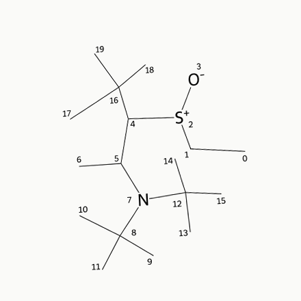 CC[S+]([O-])C(C(C)N(C(C)(C)C)C(C)(C)C)C(C)(C)C